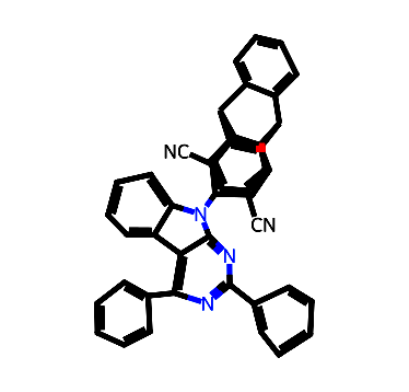 N#Cc1ccc2c(c1)C1c3ccccc3C2c2c1ccc(-n1c3ccccc3c3c(-c4ccccc4)nc(-c4ccccc4)nc31)c2C#N